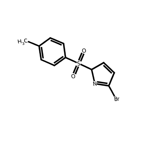 Cc1ccc(S(=O)(=O)C2C=CC(Br)=N2)cc1